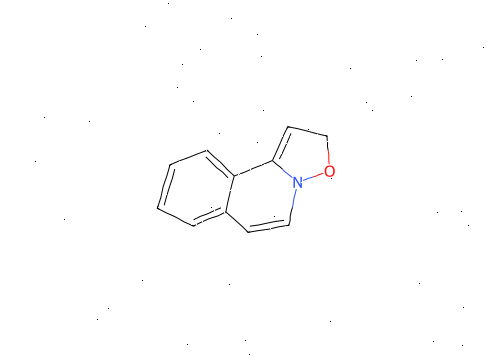 C1=CN2OCC=C2c2ccccc21